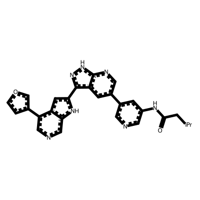 CC(C)CC(=O)Nc1cncc(-c2cnc3[nH]nc(-c4cc5c(-c6ccoc6)cncc5[nH]4)c3c2)c1